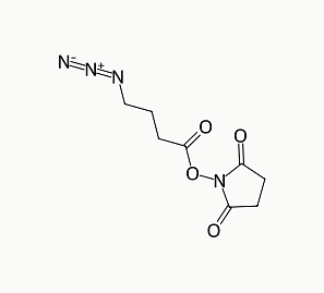 [N-]=[N+]=NCCCC(=O)ON1C(=O)CCC1=O